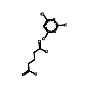 Clc1nc(Cl)nc(Cl)n1.O=C(Cl)CCCC(=O)Cl